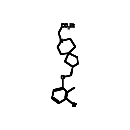 CCOC(=O)CN1CCC2(CC[C@@H](COc3cccc(Br)c3C)C2)CC1